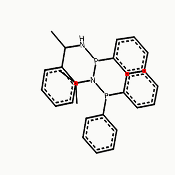 CC(NP(c1ccccc1)N(C(C)C)P(c1ccccc1)c1ccccc1)c1ccccc1